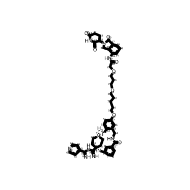 CN1CCC(Nc2cccc(C(=O)NCc3cc(OCCCCCOCCCOCC(=O)Nc4cccc5c4CN(C4CCC(=O)NC4=O)C5=O)ccc3F)c2)(C(=N)NC(=N)c2ccncc2)CC1